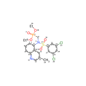 CCOP(=O)(CN(c1cccc2ncc(C)cc12)S(=O)(=O)c1cc(Cl)cc(Cl)c1)OCC